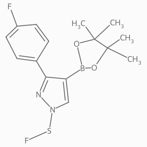 CC1(C)OB(c2cn(SF)nc2-c2ccc(F)cc2)OC1(C)C